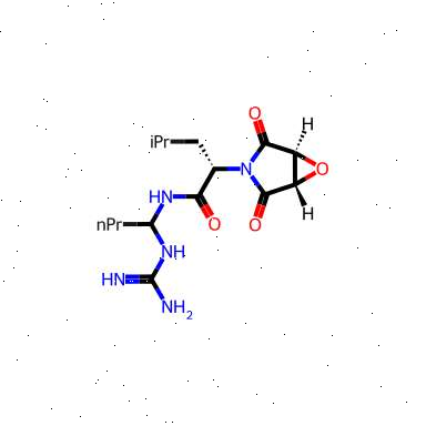 CCCC(NC(=N)N)NC(=O)[C@H](CC(C)C)N1C(=O)[C@H]2O[C@@H]2C1=O